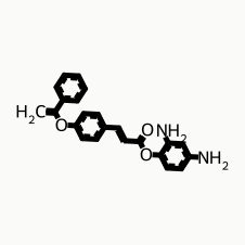 C=C(Oc1ccc(/C=C/C(=O)Oc2ccc(N)cc2N)cc1)c1ccccc1